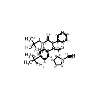 CC(C)(O)CNC(=O)C(c1cccnc1)N(C(=O)[C@H]1CCCN1C#N)c1ccc(C(C)(C)C)cc1